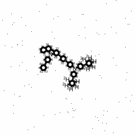 [2H]c1c([2H])c([2H])c(-c2ccc(N(c3ccc(-c4ccc(-c5ccc6c7ccc8ccccc8c7n(-c7ccc(-c8ccccc8)cc7)c6c5)cc4)cc3)c3ccc(-c4c([2H])c([2H])c([2H])c([2H])c4[2H])cc3)cc2)c([2H])c1[2H]